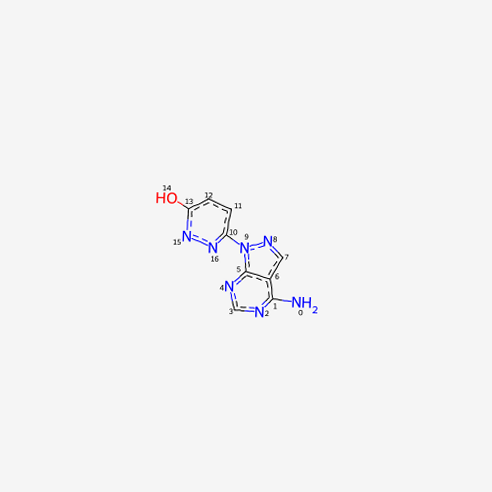 Nc1ncnc2c1cnn2-c1ccc(O)nn1